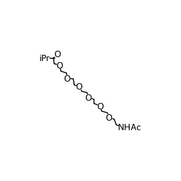 CC(=O)NCCOCCOCCOCCOCCOCCOCC(=O)C(C)C